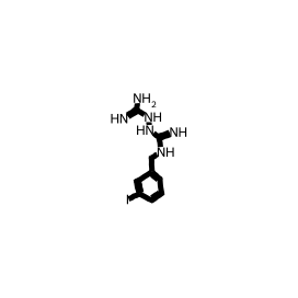 N=C(N)NNC(=N)NCc1cccc(I)c1